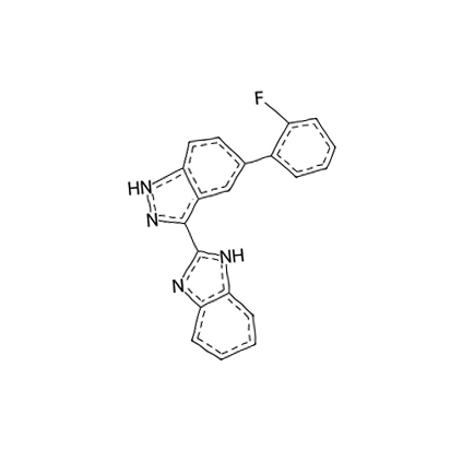 Fc1ccccc1-c1ccc2[nH]nc(-c3nc4ccccc4[nH]3)c2c1